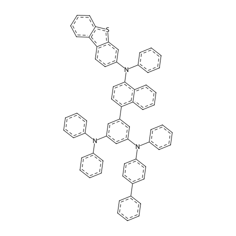 c1ccc(-c2ccc(N(c3ccccc3)c3cc(-c4ccc(N(c5ccccc5)c5ccc6c(c5)sc5ccccc56)c5ccccc45)cc(N(c4ccccc4)c4ccccc4)c3)cc2)cc1